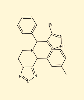 Cc1cccc(C2c3nnnn3CCN2C(c2ccccc2)c2c[nH]nc2C(C)C)c1